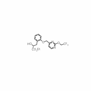 CCOC(=O)[C@@H](O)Cc1ccccc1OCc1ccnc(OCC(F)(F)F)n1